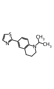 CC(C)N1CCCc2cc(-c3nccs3)ccc21